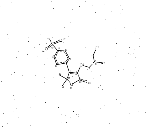 C[C@H](CF)COC1=C(c2ccc(S(C)(=O)=O)cc2)C(C)(C)OC1=O